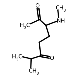 CNC(CCC(=O)C(C)C)C(C)=O